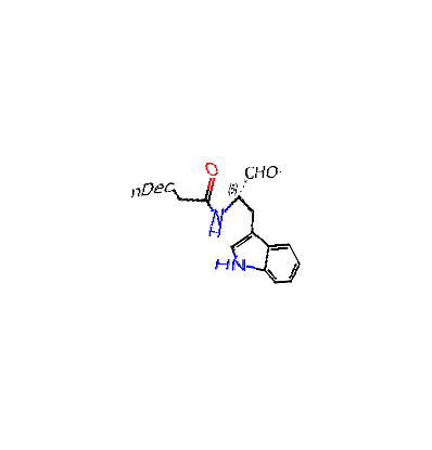 CCCCCCCCCCCC(=O)N[C@H]([C]=O)Cc1c[nH]c2ccccc12